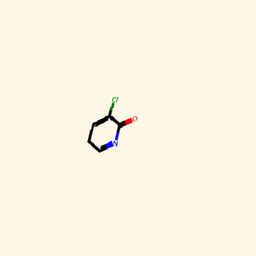 O=C1N=CCC=C1Cl